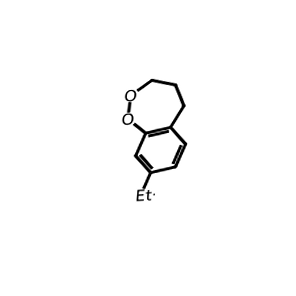 C[CH]c1ccc2c(c1)OOCCC2